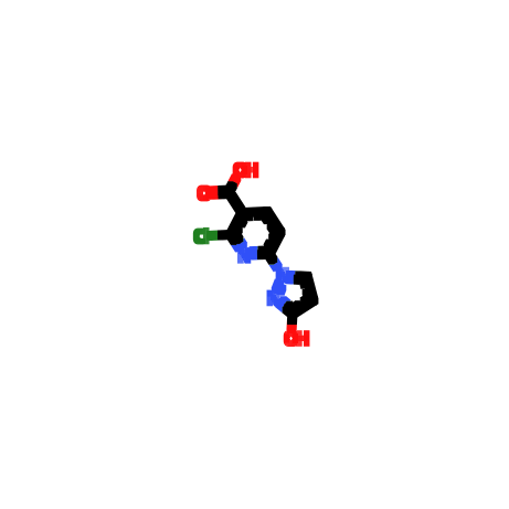 O=C(O)c1ccc(-n2ccc(O)n2)nc1Cl